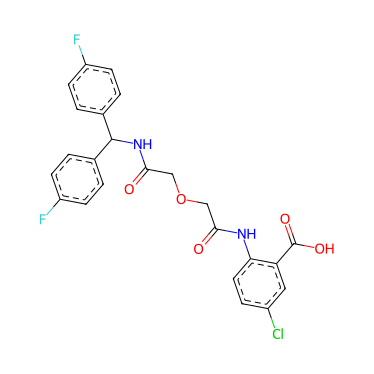 O=C(COCC(=O)NC(c1ccc(F)cc1)c1ccc(F)cc1)Nc1ccc(Cl)cc1C(=O)O